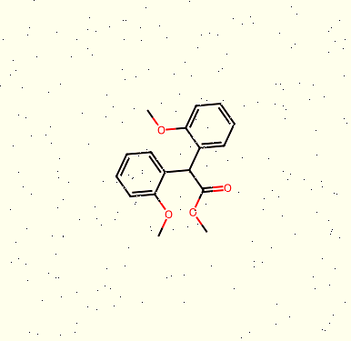 COC(=O)[C](c1ccccc1OC)c1ccccc1OC